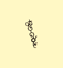 [C-]#[N+]c1ccc(N2CCC(C3CCN(C(=O)OC(C)(C)C)CC3)CC2)c(F)c1